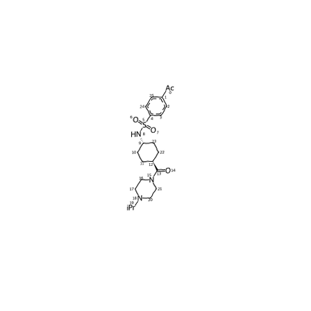 CC(=O)c1ccc(S(=O)(=O)N[C@H]2CC[C@H](C(=O)N3CCN(C(C)C)CC3)CC2)cc1